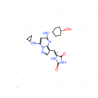 O=C1NC(=O)/C(=C/c2cnn3c(NC4CC4)cc(N[C@H]4CC[C@H](O)CC4)nc23)N1